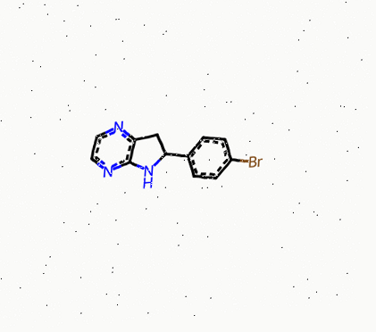 Brc1ccc(C2Cc3nccnc3N2)cc1